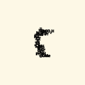 COC(=O)N[C@H](C(=O)N1CCC[C@H]1c1nc2ccc3cc(-c4ccc5c(c4)ncc4nc([C@@H]6CCCN6C(=O)[C@@H](NC(=O)O)C(C)C)[nH]c45)sc3c2[nH]1)C(C)C